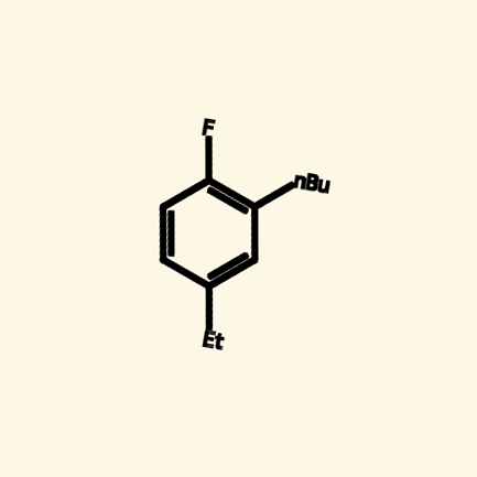 CCCCc1cc(CC)ccc1F